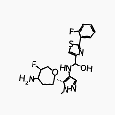 Cn1ncc(NC(O)c2csc(-c3ccccc3F)n2)c1[C@@H]1CC[C@@H](N)[C@@H](F)CO1